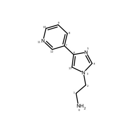 NCCn1cnc(-c2cccnc2)c1